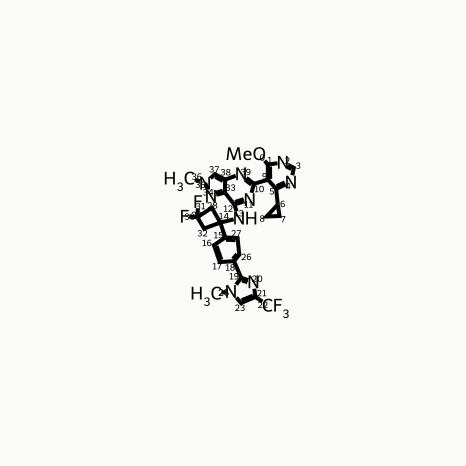 COc1ncnc(C2CC2)c1-c1nc(NC2(c3ccc(-c4nc(C(F)(F)F)cn4C)cc3)CC(F)(F)C2)c2nn(C)cc2n1